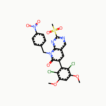 COc1cc(OC)c(Cl)c(-c2cc3cnc(S(C)(=O)=O)nc3n(Cc3ccc([N+](=O)[O-])cc3)c2=O)c1Cl